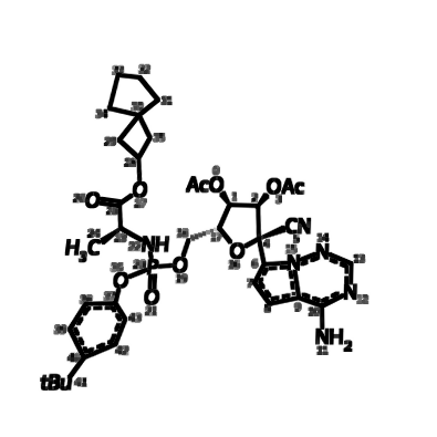 CC(=O)O[C@H]1[C@@H](OC(C)=O)[C@](C#N)(c2ccc3c(N)ncnn23)O[C@@H]1COP(=O)(N[C@@H](C)C(=O)OC1CC2(CCCC2)C1)Oc1ccc(C(C)(C)C)cc1